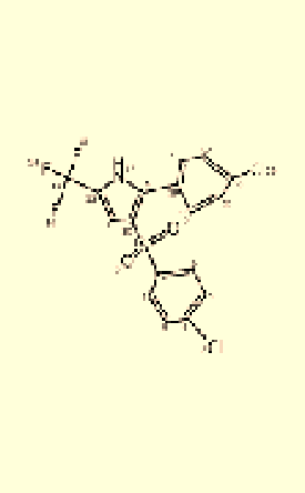 O=S(=O)(c1ccc(Cl)cc1)c1cc(C(F)(F)F)[nH]c1-c1ccc(Cl)cc1